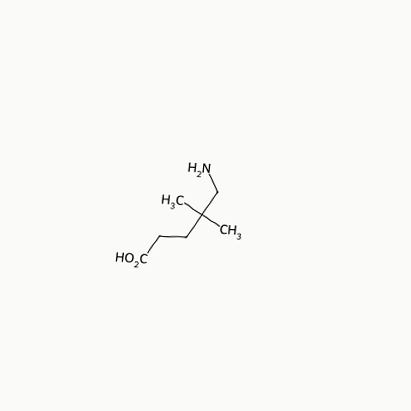 CC(C)(CN)CCC(=O)O